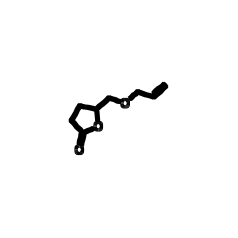 C=CCOCC1CCC(=O)O1